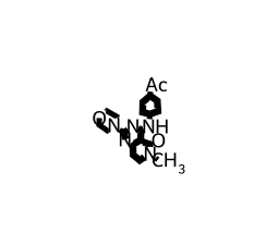 CC(=O)c1ccc(Nc2nc(N3CCOCC3)nc3ccn(C)c(=O)c23)cc1